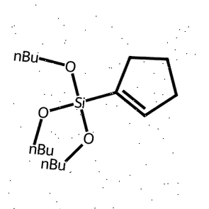 CCCCO[Si](OCCCC)(OCCCC)C1=CCCC1